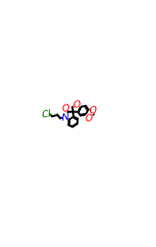 O=C1N(CCCCl)c2ccccc2C12COc1cc3c(cc12)OCO3